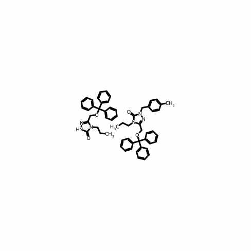 CCCn1c(COC(c2ccccc2)(c2ccccc2)c2ccccc2)n[nH]c1=O.CCCn1c(COC(c2ccccc2)(c2ccccc2)c2ccccc2)nn(Cc2ccc(C)cc2)c1=O